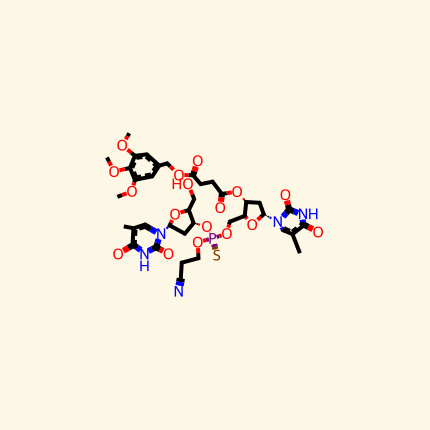 COc1cc(COC(=O)CCC(=O)O[C@@H]2C[C@H](n3cc(C)c(=O)[nH]c3=O)OC2COP(=S)(OCCC#N)O[C@@H]2C[C@H](n3cc(C)c(=O)[nH]c3=O)OC2CO)cc(OC)c1OC